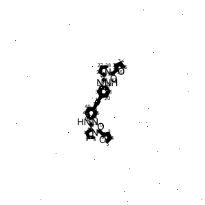 O=C(c1ccco1)N1CCC[C@H]1c1nc2cc(C#Cc3ccc4[nH]c([C@@H]5CCCN5C(=O)c5ccco5)nc4c3)ccc2[nH]1